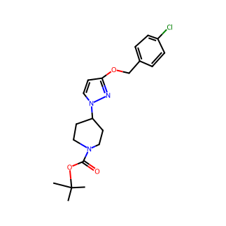 CC(C)(C)OC(=O)N1CCC(n2ccc(OCc3ccc(Cl)cc3)n2)CC1